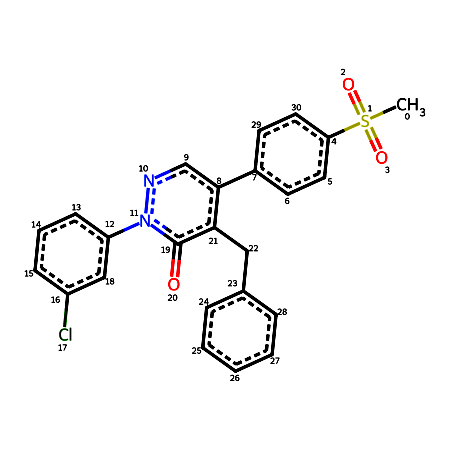 CS(=O)(=O)c1ccc(-c2cnn(-c3cccc(Cl)c3)c(=O)c2Cc2ccccc2)cc1